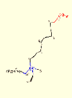 CCCCC[N+](C)(C)CCCCCO